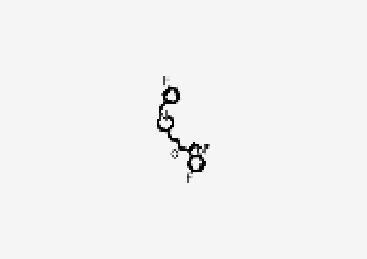 Cn1cc(C(=O)/C=C/C2CCN(Cc3cccc(F)c3)CC2)c2cc(F)ccc21